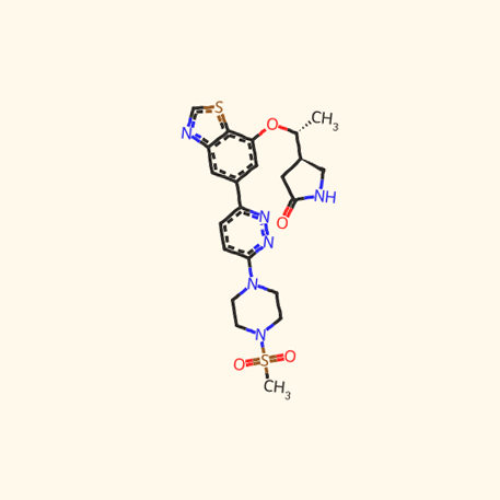 C[C@@H](Oc1cc(-c2ccc(N3CCN(S(C)(=O)=O)CC3)nn2)cc2ncsc12)[C@H]1CNC(=O)C1